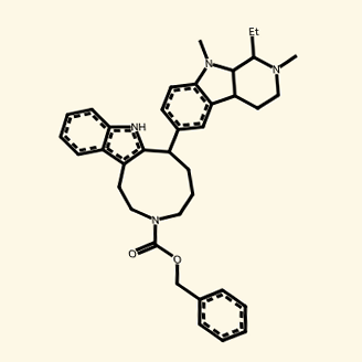 CCC1C2C(CCN1C)c1cc(C3CCCN(C(=O)OCc4ccccc4)CCc4c3[nH]c3ccccc43)ccc1N2C